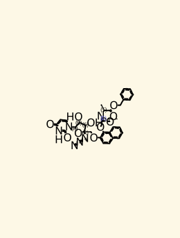 C[C@H](/N=[P+](\[O-])Oc1c(OC[C@@]2(N=[N+]=[N-])O[C@@H](n3ccc(=O)[nH]c3=O)[C@H](O)[C@@H]2O)ccc2ccccc12)C(=O)OCc1ccccc1